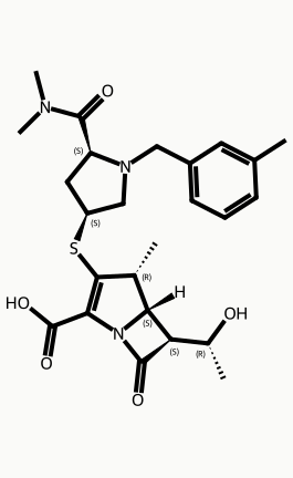 Cc1cccc(CN2C[C@@H](SC3=C(C(=O)O)N4C(=O)[C@H]([C@@H](C)O)[C@H]4[C@H]3C)C[C@H]2C(=O)N(C)C)c1